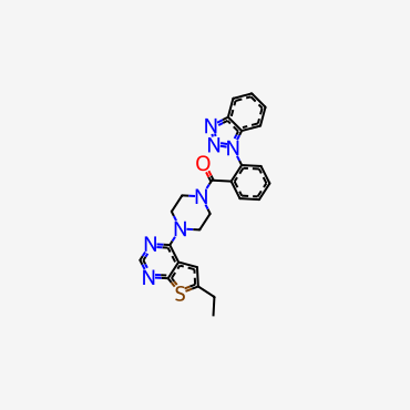 CCc1cc2c(N3CCN(C(=O)c4ccccc4-n4nnc5ccccc54)CC3)ncnc2s1